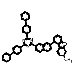 CC1C=Cc2c(oc3cccc(-c4ccc5ccc(-c6nc(-c7ccc(-c8ccccc8)cc7)nc(-c7ccc(-c8ccccc8)cc7)n6)cc5c4)c23)C1